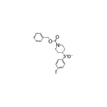 O=C(OCc1ccccc1)N1CCC([S+]([O-])c2ccc(I)cc2)CC1